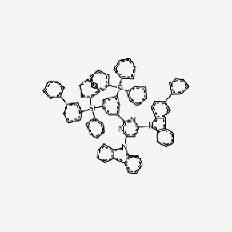 c1ccc(-c2cccc([Si](c3ccccc3)(c3ccccc3)c3cc(-c4nc(-n5c6ccccc6c6ccccc65)cc(-n5c6ccccc6c6cc(-c7ccccc7)ccc65)n4)cc([Si](c4ccccc4)(c4ccccc4)c4ccccc4)c3)c2)cc1